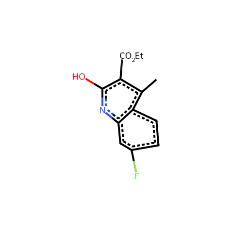 CCOC(=O)c1c(O)nc2cc(F)ccc2c1C